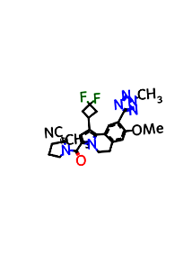 COc1cc2c(cc1-c1nnn(C)n1)-c1c(C3CC(F)(F)C3)cc(C(=O)N3CCC[C@]3(C)C#N)n1CC2